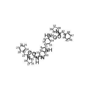 O=C(Nc1ccc(-c2cc3cc(NC(=O)[C@@H]4CCCN4C(=O)Cc4ccccc4)ncc3[nH]2)cc1)[C@@H]1CCCN1C(=O)Cc1ccccc1